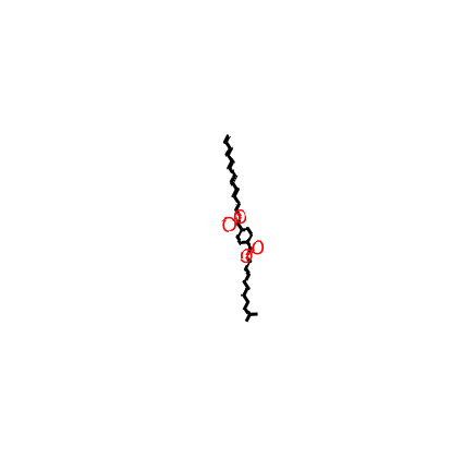 CCCCCCCCCCCCOC(=O)C1CCC(C(=O)OCCCCCCCCC(C)C)CC1